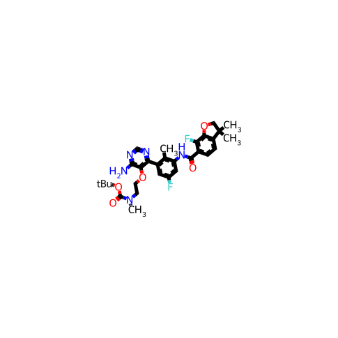 Cc1c(NC(=O)c2ccc3c(c2F)OCC3(C)C)cc(F)cc1-c1ncnc(N)c1OCCN(C)C(=O)OC(C)(C)C